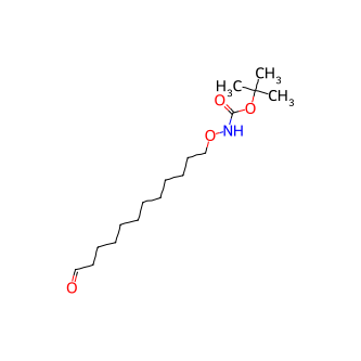 CC(C)(C)OC(=O)NOCCCCCCCCCCCC=O